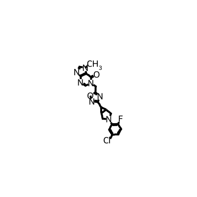 Cn1cnc2ncn(Cc3nc(C4C5CN(c6cc(Cl)ccc6F)CC54)no3)c(=O)c21